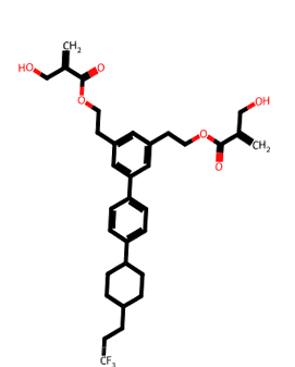 C=C(CO)C(=O)OCCc1cc(CCOC(=O)C(=C)CO)cc(-c2ccc(C3CCC(CCC(F)(F)F)CC3)cc2)c1